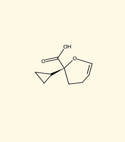 O=C(O)[C@@]1(C2CC2)CCC=CO1